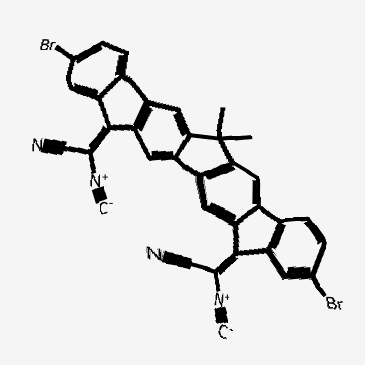 [C-]#[N+]/C(C#N)=C1\c2cc(Br)ccc2-c2cc3c(cc21)-c1cc2c(cc1C3(C)C)-c1ccc(Br)cc1/C2=C(\C#N)[N+]#[C-]